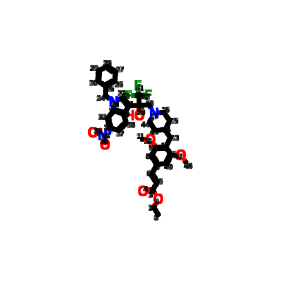 CCOC(=O)/C=C/c1cc(OC)c(CC2CCN(CC(O)(c3cn(Cc4ccccc4)c4cc([N+](=O)[O-])ccc34)C(F)(F)F)CC2)c(OC)c1